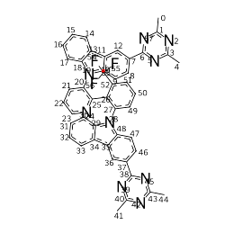 Cc1nc(C)nc(-c2ccc3c(c2)c2ccccc2n3-c2cccnc2-c2c(-n3c4ccccc4c4cc(-c5nc(C)nc(C)n5)ccc43)cccc2C(F)(F)F)n1